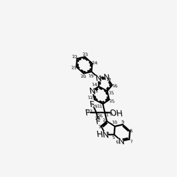 OC(C1=CNC2N=CC=CC12)(c1cnc2c(cnn2-c2ccccc2)c1)C(F)(F)F